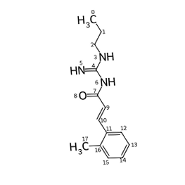 CCCNC(=N)NC(=O)/C=C/c1ccccc1C